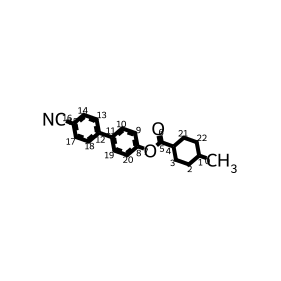 CC1CCC(C(=O)Oc2ccc(-c3ccc(C#N)cc3)cc2)CC1